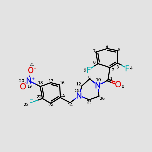 O=C(c1c(F)cccc1F)N1CCN(Cc2ccc([N+](=O)[O-])c(F)c2)CC1